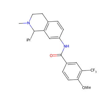 COc1ccc(C(=O)Nc2ccc3c(c2)C(C(C)C)N(C)CC3)cc1C(F)(F)F